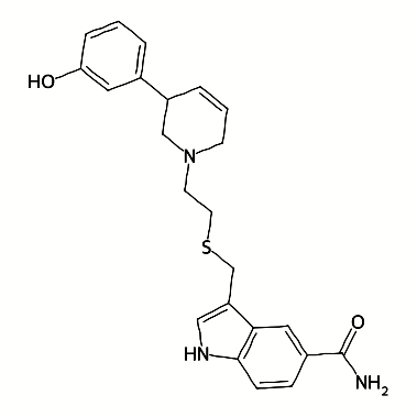 NC(=O)c1ccc2[nH]cc(CSCCN3CC=CC(c4cccc(O)c4)C3)c2c1